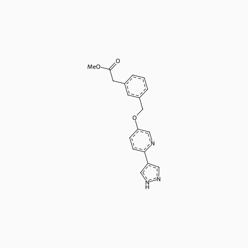 COC(=O)Cc1cccc(COc2ccc(-c3cn[nH]c3)nc2)c1